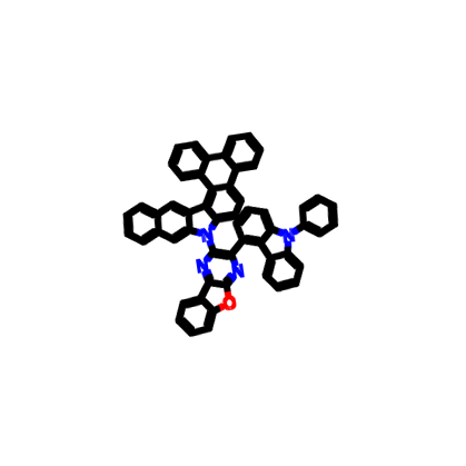 c1ccc(-n2c3ccccc3c3c(-c4nc5oc6ccccc6c5nc4-n4c5cc6ccccc6cc5c5c6c7ccccc7c7ccccc7c6ccc54)cccc32)cc1